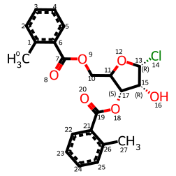 Cc1ccccc1C(=O)OCC1O[C@H](Cl)[C@H](O)[C@@H]1OC(=O)c1ccccc1C